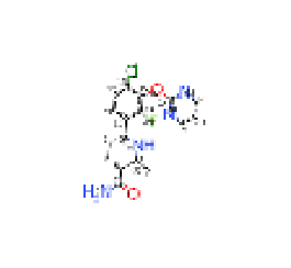 CC[C@@H](N[C@@H](C)CC(N)=O)c1ccc(Cl)c(Oc2ncccn2)c1F